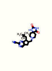 CC(C)(C)CC1c2nc(C#N)ncc2CC1CN1CCC2(CC1)NC(=O)NC2=O